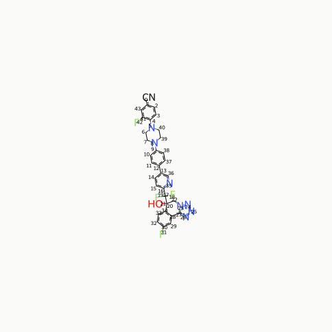 N#Cc1ccc(N2CCN(c3ccc(-c4ccc(C(F)(F)[C@]5(O)Cn6nnnc6-c6cc(F)ccc65)nc4)cc3)CC2)c(F)c1